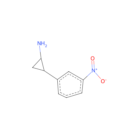 NC1CC1c1cccc([N+](=O)[O-])c1